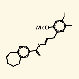 C=C(S/C=C/Cc1cc(C)c(I)cc1OC)c1ccc2c(c1)CCCCC2